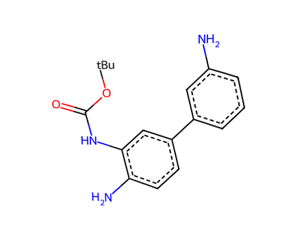 CC(C)(C)OC(=O)Nc1cc(-c2cccc(N)c2)ccc1N